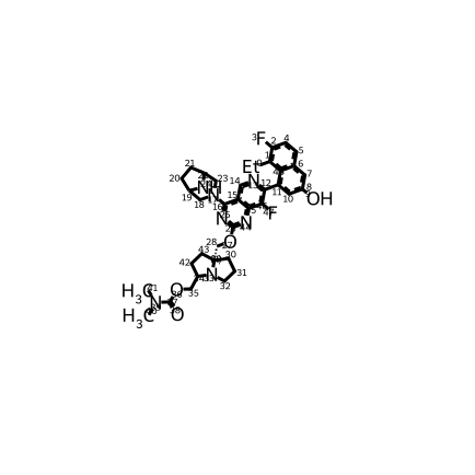 CCc1c(F)ccc2cc(O)cc(-c3ncc4c(N5CC6CCC(C5)N6)nc(OC[C@]56CCCN5C(COC(=O)N(C)C)CC6)nc4c3F)c12